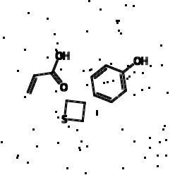 C1CSC1.C=CC(=O)O.Oc1ccccc1